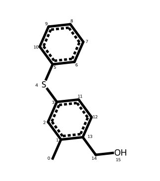 Cc1cc(Sc2ccccc2)ccc1CO